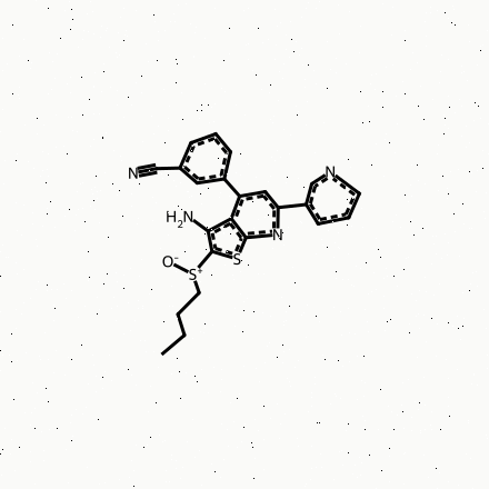 CCCC[S+]([O-])c1sc2nc(-c3cccnc3)cc(-c3cccc(C#N)c3)c2c1N